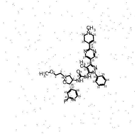 COCCN1C[C@@H](NC(=O)Nc2c(C)c(-c3cnc(C4=CCN(C)CC4)nc3)nn2-c2ccccc2)[C@H](c2ccnc(F)c2)O1